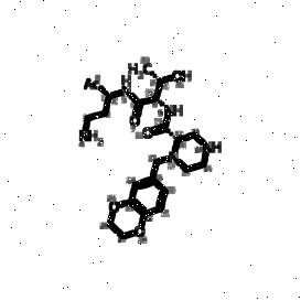 CC(=O)[C@H](CCN)NC(=O)[C@@H](NC(=O)[C@@H]1CNCCN1Cc1ccc2c(c1)OCCO2)[C@H](C)O